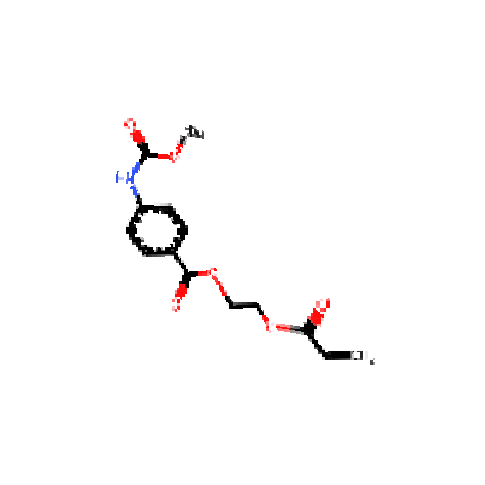 C=CC(=O)OCCOC(=O)c1ccc(NC(=O)OC(C)(C)C)cc1